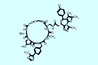 Cc1ncsc1-c1ccc(C[C@H]2NC(=O)[C@@H]3C[C@@H](O)CN3C(=O)[C@H](C(C)(C)C)NC(=O)COCCNC(=O)[C@@H](CNC(=O)C[C@@H]3N=C(c4ccc(Cl)cc4)c4c(sc(C)c4C)-n4c(C)nnc43)NC(=O)[C@@H](C)NC2=O)cc1